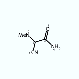 CNC(C#N)C(N)=O